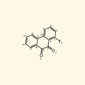 O=C1C(=O)c2c(F)cccc2-c2ccccc21